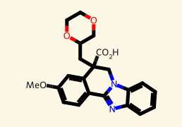 COc1ccc2c(c1)C(CC1COCCO1)(C(=O)O)Cn1c-2nc2ccccc21